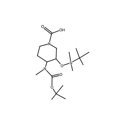 CN(C(=O)OC(C)(C)C)C1CCN(C(=O)O)CC1O[Si](C)(C)C(C)(C)C